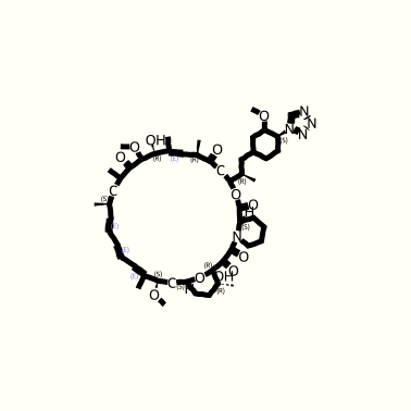 COC1C(=O)C(C)C[C@H](C)/C=C/C=C/C=C(\C)[C@@H](OC)C[C@@H]2CC[C@@H](C)[C@@](O)(O2)C(=O)C(=O)N2CCCC[C@H]2C(=O)OC([C@H](C)CC2CC[C@H](n3cnnn3)C(OC)C2)CC(=O)[C@H](C)/C=C(\C)[C@H]1O